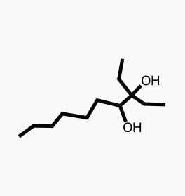 CCCCCCC(O)C(O)(CC)CC